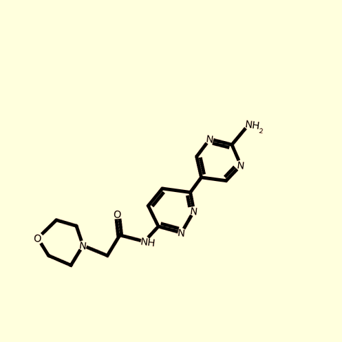 Nc1ncc(-c2ccc(NC(=O)CN3CCOCC3)nn2)cn1